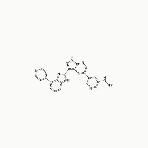 CC(C)Nc1cncc(-c2cnc3[nH]nc(-c4nc5c(-c6ccncc6)cccc5[nH]4)c3c2)c1